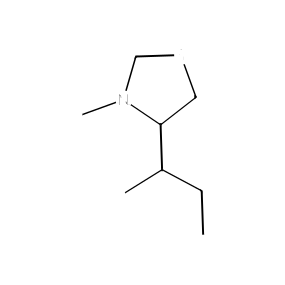 CCC(C)C1CSCN1C